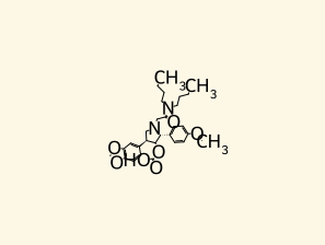 CCCCN(CCCC)C(=O)CN1C[C@H](c2ccc3c(c2)OCO3)[C@@H](OC(=O)O)[C@H]1c1ccc(OC)cc1